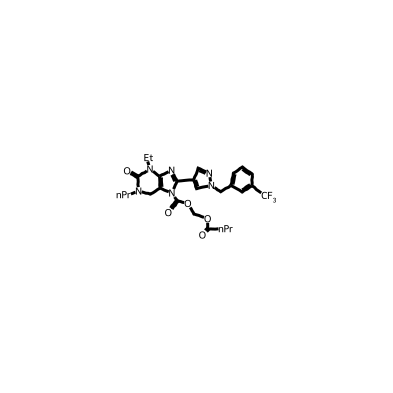 CCCC(=O)OCOC(=O)n1c(-c2cnn(Cc3cccc(C(F)(F)F)c3)c2)nc2c1CN(CCC)C(=O)N2CC